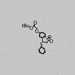 CC(C)(C)OC(=O)COc1ccc2c(c1)C(Sc1ccccc1)CS2(=O)=O